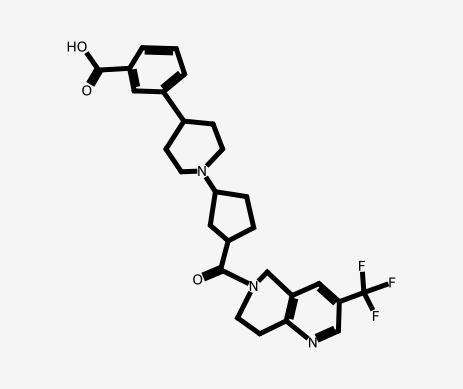 O=C(O)c1cccc(C2CCN(C3CCC(C(=O)N4CCc5ncc(C(F)(F)F)cc5C4)C3)CC2)c1